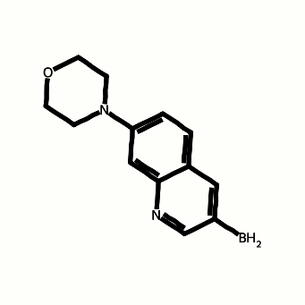 Bc1cnc2cc(N3CCOCC3)ccc2c1